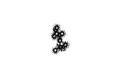 c1ccc(-c2nc(-c3ccc(-n4c5ccccc5c5c6c7ccccc7sc6c6ccccc6c54)cc3)c3c(n2)sc2ccccc23)cc1